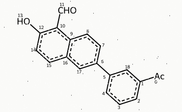 CC(=O)c1cccc(-c2ccc3c(C=O)c(O)ccc3c2)c1